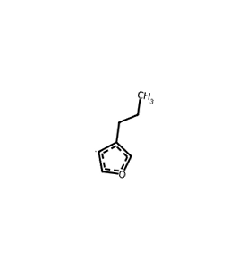 CCCc1[c]coc1